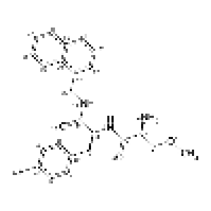 COC[C@H](N)C(=O)N[C@@H](Cc1ccc(F)cc1)C(=O)NCc1cccc2ccccc12